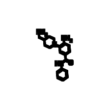 NCC1CCN(c2cc(C(=O)Nc3ccccc3)ccc2N)CC1